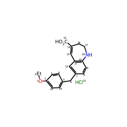 CCOc1ccc(Cc2ccc3c(c2)C=C(C(=O)O)CCN3)cc1.Cl